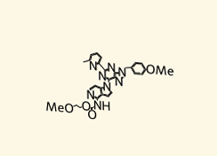 COCCOC(=O)Nc1nccc2c1ccn2-c1nc(-c2cccc(C)n2)nc2c1ncn2Cc1ccc(OC)cc1